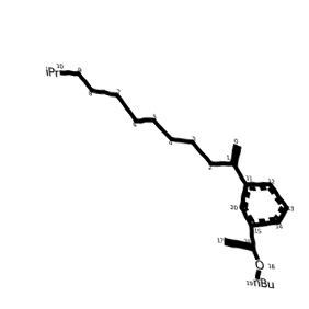 C=C(CCCCCCCCC(C)C)c1cccc(C(=C)OCCCC)c1